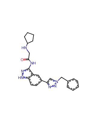 O=C(CNC1CCCC1)Nc1n[nH]c2ccc(-c3cn(Cc4ccccc4)nn3)cc12